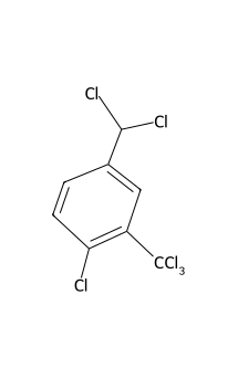 Clc1ccc(C(Cl)Cl)cc1C(Cl)(Cl)Cl